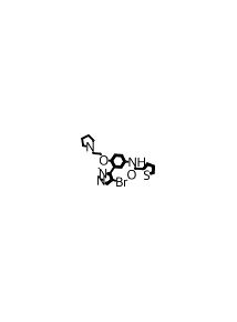 Cn1ncc(Br)c1-c1cc(NC(=O)c2cccs2)ccc1OCCN1CCCC1